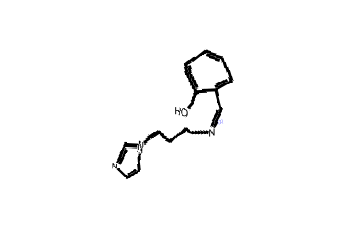 Oc1ccccc1/C=N\CCCn1ccnc1